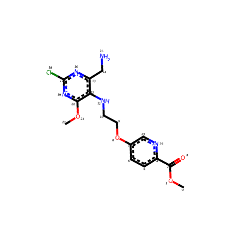 COC(=O)c1ccc(OCCNc2c(CN)nc(Cl)nc2OC)cn1